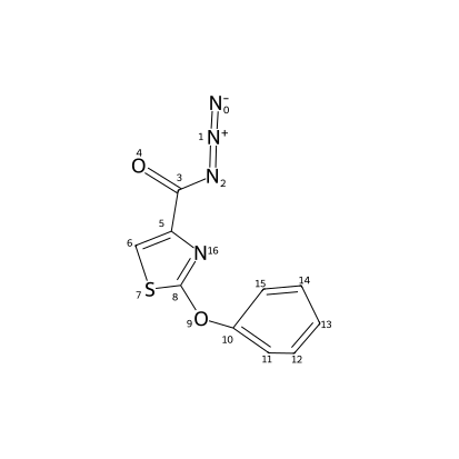 [N-]=[N+]=NC(=O)c1csc(Oc2ccccc2)n1